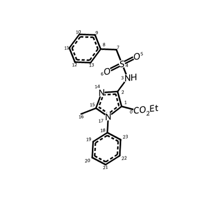 CCOC(=O)c1c(NS(=O)(=O)Cc2ccccc2)nc(C)n1-c1ccccc1